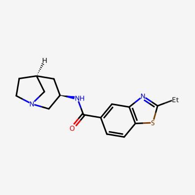 CCc1nc2cc(C(=O)N[C@@H]3C[C@@H]4CCN(C4)C3)ccc2s1